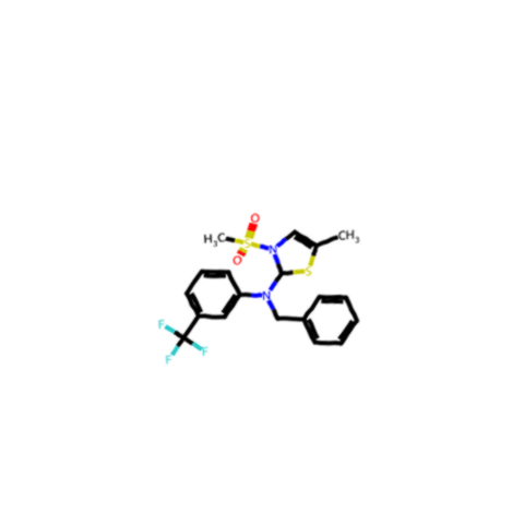 CC1=CN(S(C)(=O)=O)C(N(Cc2ccccc2)c2cccc(C(F)(F)F)c2)S1